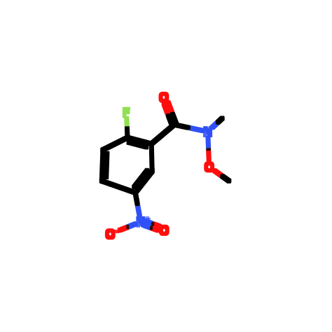 CON(C)C(=O)c1cc([N+](=O)[O-])ccc1F